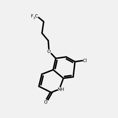 O=c1ccc2c(OCCCC(F)(F)F)cc(Cl)cc2[nH]1